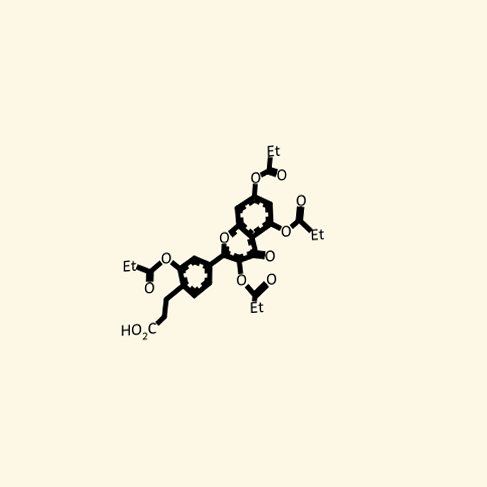 CCC(=O)Oc1cc(OC(=O)CC)c2c(=O)c(OC(=O)CC)c(-c3ccc(CCC(=O)O)c(OC(=O)CC)c3)oc2c1